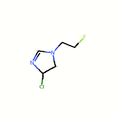 FCCN1[C]=NC(Cl)[CH]1